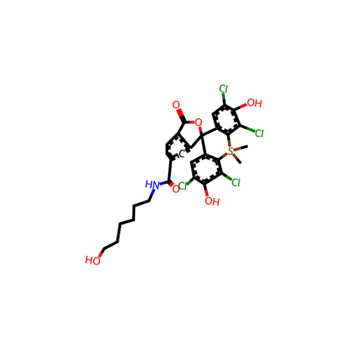 CS1(C)c2c(cc(Cl)c(O)c2Cl)C2(OC(=O)c3ccc(C(=O)NCCCCCCO)cc32)c2cc(Cl)c(O)c(Cl)c21